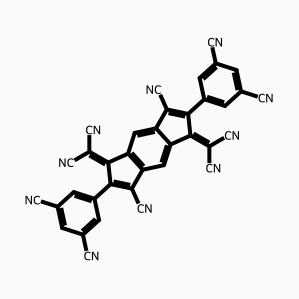 N#CC(C#N)=C1C(c2cc(C#N)cc(C#N)c2)=C(C#N)c2cc3c(cc21)C(C#N)=C(c1cc(C#N)cc(C#N)c1)C3=C(C#N)C#N